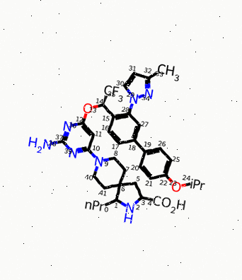 CCCC1NC(C(=O)O)CC12CCN(c1cc(O[C@H](c3ccc(-c4ccc(OC(C)C)cc4)cc3-n3ccc(C)n3)C(F)(F)F)nc(N)n1)CC2